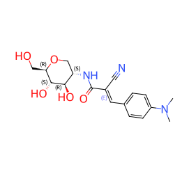 CN(C)c1ccc(/C=C(\C#N)C(=O)N[C@H]2CO[C@H](CO)[C@@H](O)[C@@H]2O)cc1